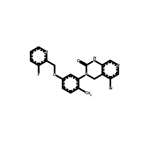 Cc1ccc(OCc2ncccc2F)cc1N1Cc2c(Br)cncc2NC1=O